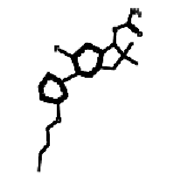 CCCCOc1cccc(-c2cc3c(cc2F)C(OC(N)=O)C(C)(C)C3)c1